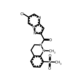 CN1c2c(cccc2S(C)(=O)=O)CCN1C(=O)c1cc2ncc(Cl)cn2n1